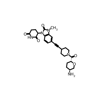 Cn1c(=O)n(C2CCC(=O)NC2=O)c2ccc(C#CC3CCN(C(=O)[C@H]4CC[C@H](N)CO4)CC3)cc21